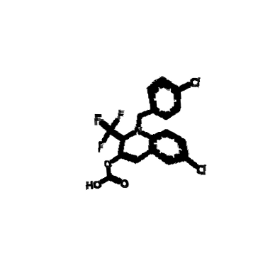 O=C(O)OC1=Cc2cc(Cl)ccc2N(Cc2ccc(Cl)cc2)C1C(F)(F)F